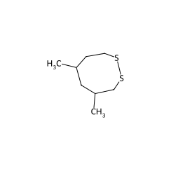 CC1CCSSCC(C)C1